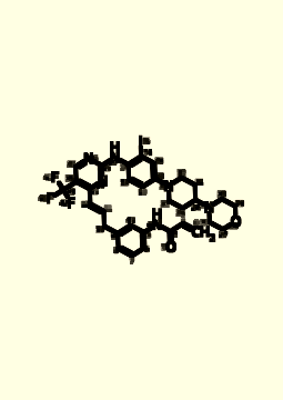 C=CC(=O)Nc1cccc(C/C=C/c2nc(Nc3ccc(N4CCC(N5CCOCC5)CC4)cc3I)ncc2C(F)(F)F)c1